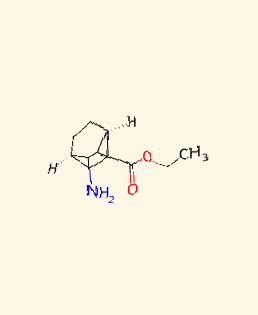 CCOC(=O)C1C(N)[C@H]2CC[C@@H]1CC2